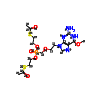 COC1NC(N)=Nc2c1ncn2CCOCP(=O)(OCCSC(C)=O)OCCSC(C)=O